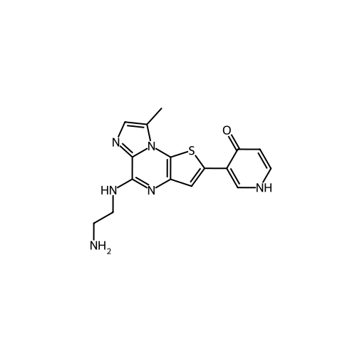 Cc1cnc2c(NCCN)nc3cc(-c4c[nH]ccc4=O)sc3n12